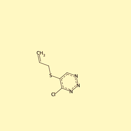 C=CCSc1cnnnc1Cl